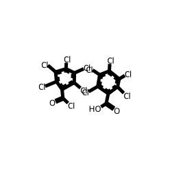 O=C(Cl)c1c(Cl)c(Cl)c(Cl)c(Cl)c1Cl.O=C(O)c1c(Cl)c(Cl)c(Cl)c(Cl)c1Cl